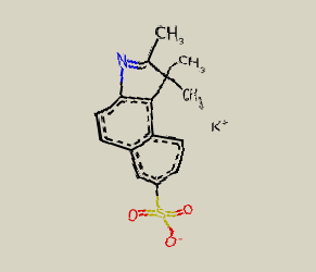 CC1=Nc2ccc3cc(S(=O)(=O)[O-])ccc3c2C1(C)C.[K+]